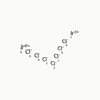 [Cl-].[Cl-].[Cl-].[Cl-].[Cl-].[Cl-].[Cl-].[Ir+3].[Ir+4]